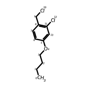 CCCCOc1ccc(CCl)c(Cl)c1